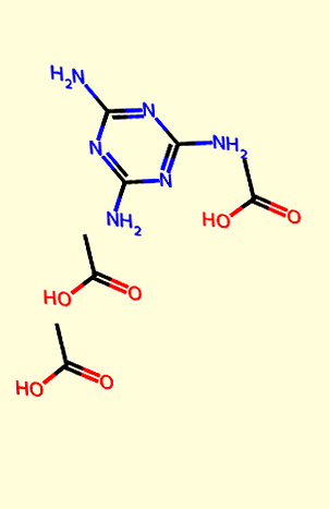 CC(=O)O.CC(=O)O.CC(=O)O.Nc1nc(N)nc(N)n1